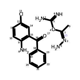 C/C(=N/N)OC(=N)N.Nc1ccc(Cl)cc1C(=O)c1ccccc1